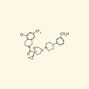 O=C(O)c1cccc(C2CCN([C@@H]3CC[C@@](C(=O)N4CCc5c(Cl)cc(C(F)(F)F)cc5C4)(C4CC4)OC3)CC2)c1